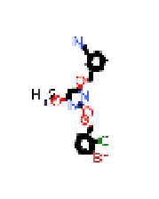 COc1cc(OCc2cccc(C#N)c2)nc(OOCc2cccc(Br)c2Cl)n1